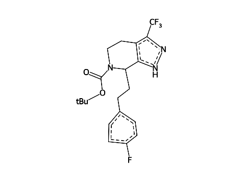 CC(C)(C)OC(=O)N1CCc2c(C(F)(F)F)n[nH]c2C1CCc1ccc(F)cc1